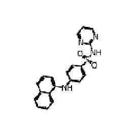 O=S(=O)(Nc1ncccn1)c1ccc(Nc2cccc3ccccc23)cc1